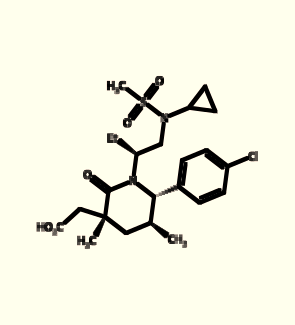 CC[C@@H](CN(C1CC1)S(C)(=O)=O)N1C(=O)[C@@](C)(CC(=O)O)C[C@H](C)[C@H]1c1ccc(Cl)cc1